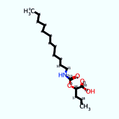 CCCCCCCCCCCCNC(=O)OC(CCC)C(=O)O